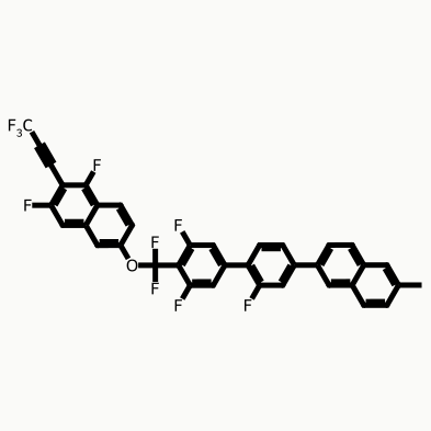 Cc1ccc2cc(-c3ccc(-c4cc(F)c(C(F)(F)Oc5ccc6c(F)c(C#CC(F)(F)F)c(F)cc6c5)c(F)c4)c(F)c3)ccc2c1